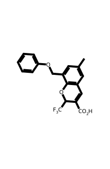 Cc1cc2c(c(COc3ccccc3)c1)OC(C(F)(F)F)C(C(=O)O)=C2